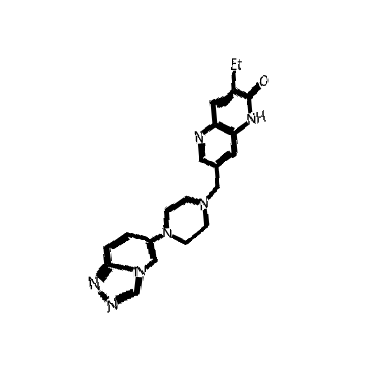 CCc1cc2ncc(CN3CCN(c4ccc5nncn5c4)CC3)cc2[nH]c1=O